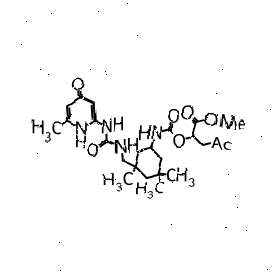 COC(=O)C(CC(C)=O)OC(=O)NC1CC(C)(C)CC(C)(CNC(=O)Nc2cc(=O)cc(C)[nH]2)C1